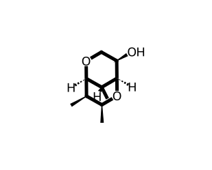 C[C@@H]1[C@@H]2OC[C@@H](O)[C@H]1O[C@@H](C)[C@H]2C